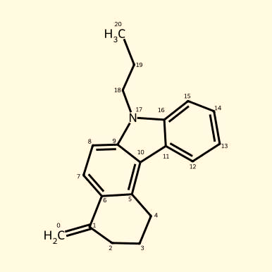 C=C1CCCc2c1ccc1c2c2ccccc2n1CCC